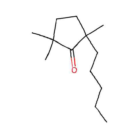 CCCCCC1(C)CCC(C)(C)C1=O